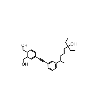 CCC(O)(C=CC=C(C)c1cccc(C#Cc2ccc(CO)c(CO)c2)c1)CC